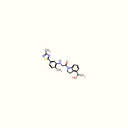 Cc1nsc(-c2ccc(C)c(NCC(=O)N3CCc4c(C(O)C(F)(F)F)cccc43)c2)n1